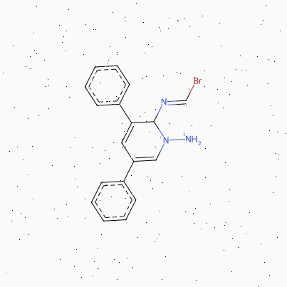 NN1C=C(c2ccccc2)C=C(c2ccccc2)C1/N=C/Br